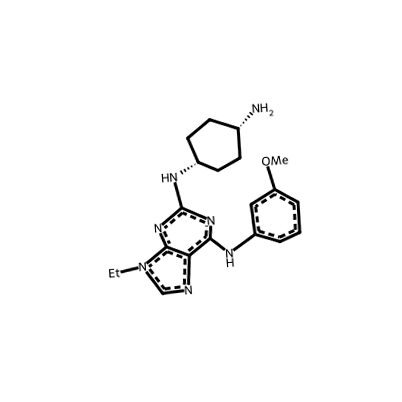 CCn1cnc2c(Nc3cccc(OC)c3)nc(N[C@H]3CC[C@@H](N)CC3)nc21